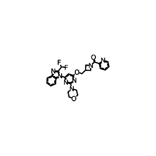 O=C(c1ccccn1)N1CC(COc2cc(-n3c(C(F)F)nc4ccccc43)nc(N3CCOCC3)n2)C1